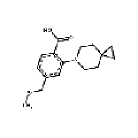 CSCc1ccc(C(=O)O)c(N2CCC3(CC2)CC3)c1